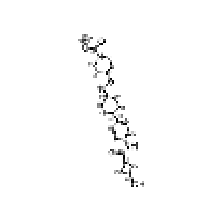 CC(C)OC(=O)N1CCC(ON=C2CCC(c3ccc(NC(=O)N4CC(O)C4)cc3)CC2)CC1